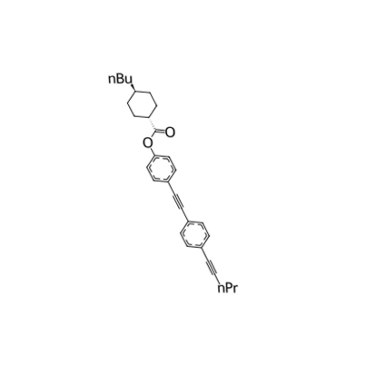 CCCC#Cc1ccc(C#Cc2ccc(OC(=O)[C@H]3CC[C@H](CCCC)CC3)cc2)cc1